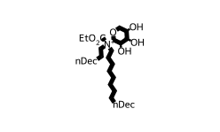 CCCCCCCCCCCCCCCCCC[N+](CCCCCCCCCCCC)(C(=O)OCC)C1OC[C@@H](O)[C@@H](O)[C@H]1O